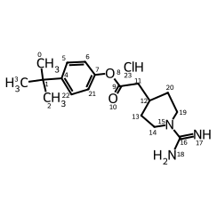 CC(C)(C)c1ccc(OC(=O)CC2CCN(C(=N)N)CC2)cc1.Cl